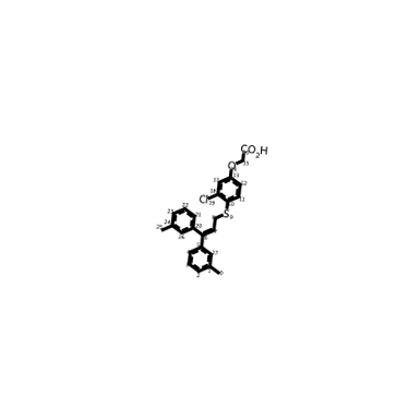 Cc1cccc(C(=CCSc2ccc(OCC(=O)O)cc2Cl)c2cccc(C)c2)c1